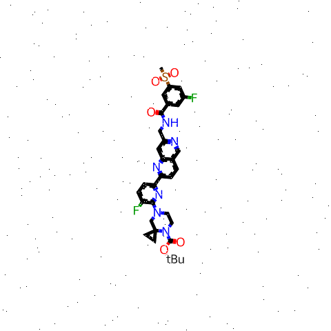 CC(C)(C)OC(=O)N1CCN(c2nc(-c3ccc4cnc(CNC(=O)c5cc(F)cc(S(C)(=O)=O)c5)cc4n3)ccc2F)CC12CC2